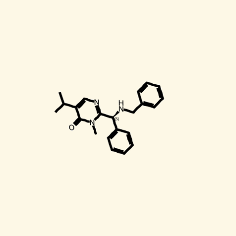 CC(C)c1cnc([C@@H](NCc2ccccc2)c2ccccc2)n(C)c1=O